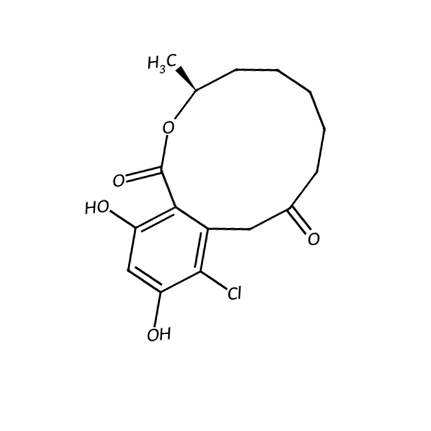 C[C@H]1CCCCCC(=O)Cc2c(Cl)c(O)cc(O)c2C(=O)O1